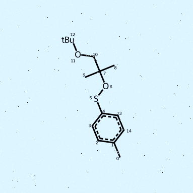 Cc1ccc(SOC(C)(C)COC(C)(C)C)cc1